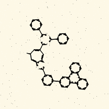 CC1C=C(c2nc(-c3ccccc3)nc(-c3ccccc3)n2)C=c2sc(-c3cccc(-c4ccc5c6ccccc6c6ccccc6c5c4)c3)nc2=C1